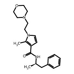 Cc1c(C(=O)N[C@H](C)Cc2ccccc2)ccn1CCN1CCOCC1